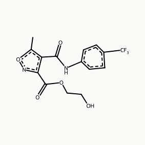 Cc1onc(C(=O)OCCO)c1C(=O)Nc1ccc(C(F)(F)F)cc1